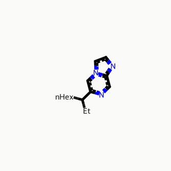 CCCCCCC(CC)c1cn2ccnc2cn1